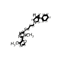 Cc1ncoc1-c1nnc(SCCCN2C[C@@H]3C[C@]3(c3ccccc3)C2)n1C